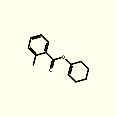 Cc1ccccc1C(=O)OC1=CCCCC1